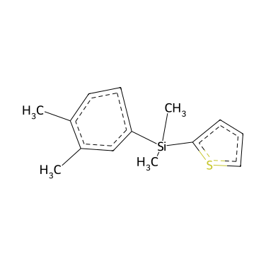 Cc1ccc([Si](C)(C)c2cccs2)cc1C